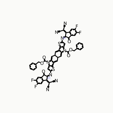 N#CC(C#N)=C1/C(=N/c2cc3c(s2)c2c(n3C(=O)OCc3ccccc3)=CC3C=c4c(n(C(=O)OCc5ccccc5)c5cc(/N=C6\C(=O)c7cc(F)c(F)cc7C6=C(C#N)C#N)sc45)=CC3C=2)C(=O)c2cc(F)c(F)cc21